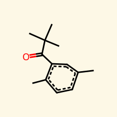 Cc1ccc(C)c(C(=O)C(C)(C)C)c1